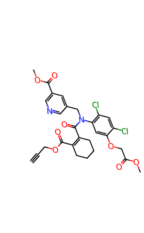 C#CCOC(=O)C1=C(C(=O)N(Cc2cncc(C(=O)OC)c2)c2cc(OCC(=O)OC)c(Cl)cc2Cl)CCCC1